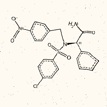 NC(=O)[C@@H](c1ccccc1)N(Cc1ccc([N+](=O)[O-])cc1)S(=O)(=O)c1ccc(Cl)cc1